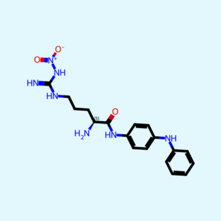 N=C(NCCC[C@H](N)C(=O)Nc1ccc(Nc2ccccc2)cc1)N[N+](=O)[O-]